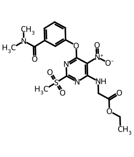 CCOC(=O)CNc1nc(S(C)(=O)=O)nc(Oc2cccc(C(=O)N(C)C)c2)c1[N+](=O)[O-]